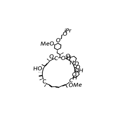 C=C1[C@H](C)C[C@H](C)/C=C/C=C/C=C(\C)[C@@H](OC)C[C@@H]2CC[C@@H](C)[C@@](O)(O2)C(=O)C(=O)N2CCCC[C@H]2C(=O)O[C@H]([C@H](C)C[C@@H]2CC[C@@H](OCCOC(C)C)[C@H](OC)C2)CC(=O)[C@H](C)/C=C(\C)[C@@H](O)[C@H]1C